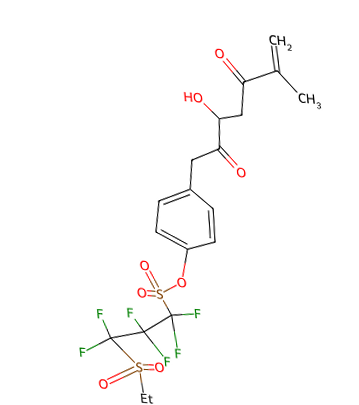 C=C(C)C(=O)CC(O)C(=O)Cc1ccc(OS(=O)(=O)C(F)(F)C(F)(F)C(F)(F)S(=O)(=O)CC)cc1